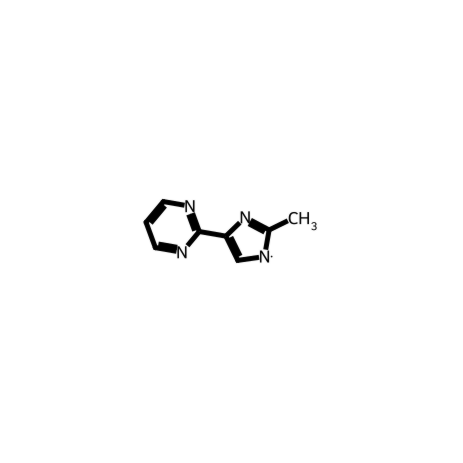 CC1=NC(c2ncccn2)=C[N]1